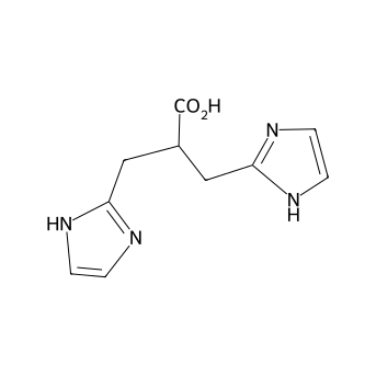 O=C(O)C(Cc1ncc[nH]1)Cc1ncc[nH]1